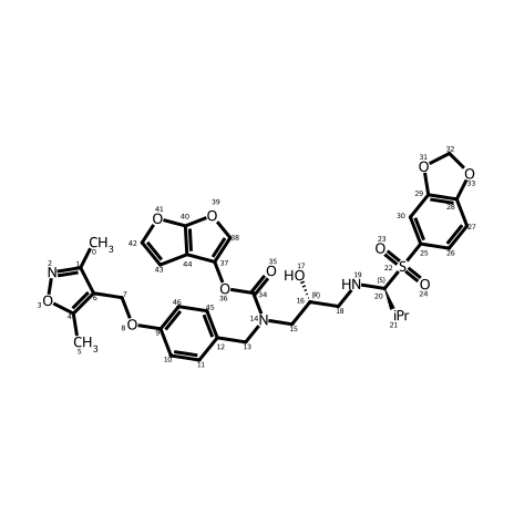 Cc1noc(C)c1COc1ccc(CN(C[C@H](O)CN[C@H](C(C)C)S(=O)(=O)c2ccc3c(c2)OCO3)C(=O)Oc2coc3occc23)cc1